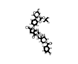 C[C@H]1CN(C(=O)OC(C)(C)C)[C@H](c2ccc(-n3c(Cl)cc4c(=O)n(CC5(O)CCN(C(=O)c6cccc(F)c6)CC5)cnc43)cc2)CO1